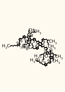 CCCCCCc1ccc(-c2ccc(-c3ccc(C4=C5C(=O)N(CC(CC)CCCC)C(c6ccc(-c7cc8c(-c9ccc(CC(CC)CCCC)s9)c9sc(-c%10ccc(C%11=C%12C(=O)N(CC(CC)CCCC)C(c%13ccc(-c%14ccc(-c%15ccc(CCCCCC)s%15)s%14)s%13)=C%12C(=O)N%11CC(CC)CCCC)s%10)cc9c(-c9ccc(CC(CC)CCCC)s9)c8s7)s6)=C5C(=O)N4CC(CC)CCCC)s3)s2)s1